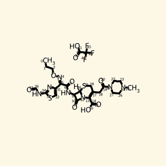 CCCO/N=C(/C(=O)NC1C(=O)N2C(C(=O)O)=C(CC(=O)N3CCN(C)CC3)CS[C@H]12)c1csc(NC=O)n1.O=C(O)C(F)(F)F